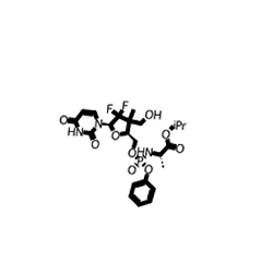 CC(C)OC(=O)[C@H](C)NP(=O)(OC[C@H]1O[C@@H](n2ccc(=O)[nH]c2=O)C(F)(F)C1(C)CO)Oc1ccccc1